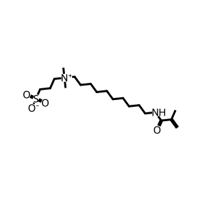 C=C(C)C(=O)NCCCCCCCCCC[N+](C)(C)CCCS(=O)(=O)[O-]